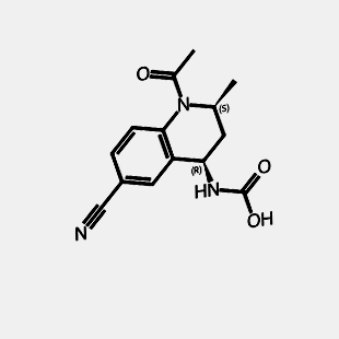 CC(=O)N1c2ccc(C#N)cc2[C@H](NC(=O)O)C[C@@H]1C